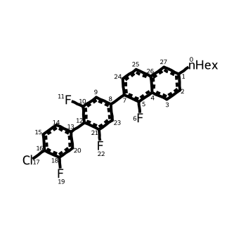 CCCCCCc1ccc2c(F)c(-c3cc(F)c(-c4ccc(Cl)c(F)c4)c(F)c3)ccc2c1